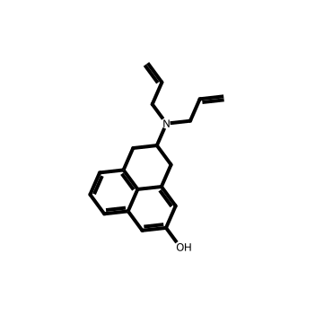 C=CCN(CC=C)C1Cc2cccc3cc(O)cc(c23)C1